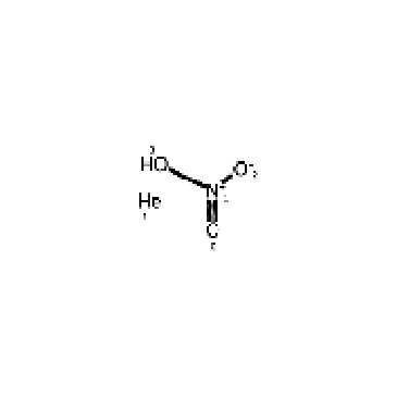 O=[N+]([O-])O.[He]